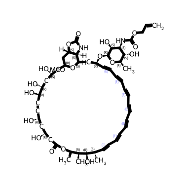 C=CCOC(=O)N[C@@H]1[C@H](O)[C@H](O[C@H]2/C=C/C=C/C=C/C=C/C=C/C=C/C=C/[C@H](C)[C@@H](O)[C@@H](C)C(C)OC(=O)C[C@H](O)C[C@H](O)CC[C@@H](O)[C@H](O)C[C@H](O)C[C@]3(OC)C[C@@H]4OC(=O)N[C@H]4[C@H](C2)O3)O[C@H](C)[C@H]1O